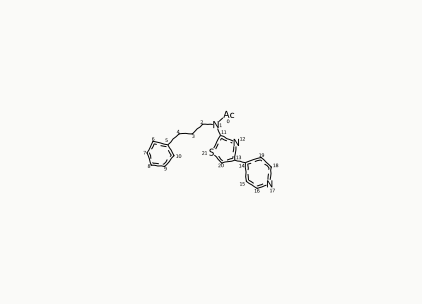 CC(=O)N(CCCc1ccccc1)c1nc(-c2ccncc2)cs1